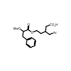 COC(Cc1ccccc1)C(=O)OCCC(CC(C)=O)CC(=O)O